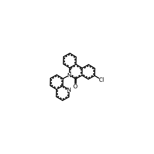 O=c1c2cc(Cl)ccc2c2ccccc2n1-c1cccc2cccnc12